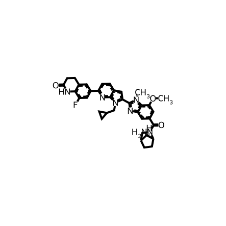 COc1cc(C(=O)N2CC3CCC2[C@@H]3N)cc2nc(-c3cc4ccc(-c5cc(F)c6c(c5)CCC(=O)N6)nc4n3CC3CC3)n(C)c12